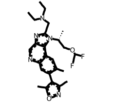 CCN(CC)Cc1nc2cnc3cc(-c4c(C)noc4C)c(C)cc3c2n1[C@H](C)COC(F)F